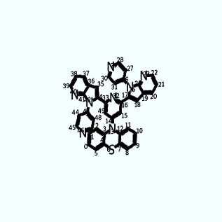 c1ccc2c(c1)Sc1ccccc1N2c1cc(-c2cc3cccnc3n2-c2ccncc2)nc(-c2cc3cccnc3n2-c2ccncc2)c1